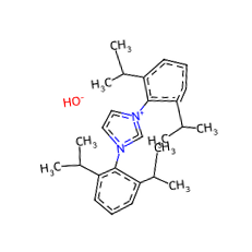 CC(C)c1cccc(C(C)C)c1-n1cc[n+](-c2c(C(C)C)cccc2C(C)C)c1.[OH-]